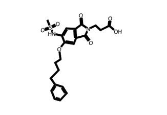 CS(=O)(=O)Nc1cc2c(cc1OCCCCc1ccccc1)C(=O)N(CCC(=O)O)C2=O